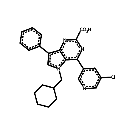 O=C(O)c1nc(-c2cncc(Cl)c2)c2c(n1)c(-c1ccccc1)cn2CC1CCCCC1